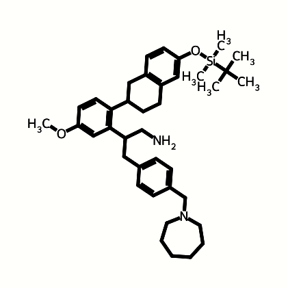 COc1ccc(C2CCc3cc(O[Si](C)(C)C(C)(C)C)ccc3C2)c(C(CN)Cc2ccc(CN3CCCCCC3)cc2)c1